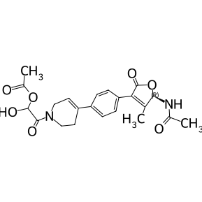 CC(=O)N[C@@H]1OC(=O)C(c2ccc(C3=CCN(C(=O)C(O)OC(C)=O)CC3)cc2)=C1C